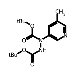 Cc1cncc(N(NC(=O)OC(C)(C)C)C(=O)OC(C)(C)C)c1